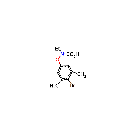 CCN(Oc1cc(C)c(Br)c(C)c1)C(=O)O